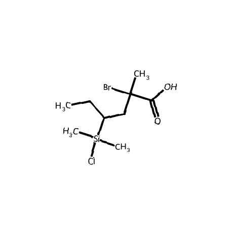 CCC(CC(C)(Br)C(=O)O)[Si](C)(C)Cl